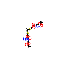 C=C(C)C(=O)OCCNC(=O)OCCSCC(C)CSCCOC(=O)NCCOC(=O)C(=C)C